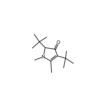 CC1=C(C(C)(C)C)C(=O)C(C(C)(C)C)N1C